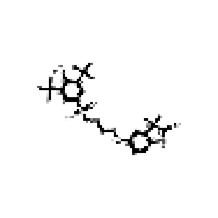 CC(C)(C)c1cc(S(=O)(=O)CCCCOc2ccc3c(c2)C(C)(C)C(=O)N3)cc(C(C)(C)C)c1O